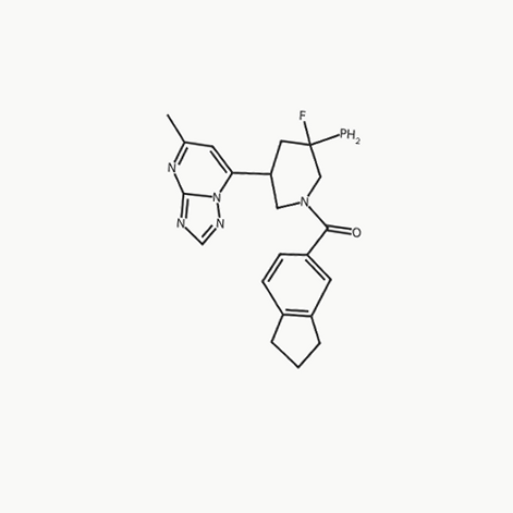 Cc1cc(C2CN(C(=O)c3ccc4c(c3)CCC4)CC(F)(P)C2)n2ncnc2n1